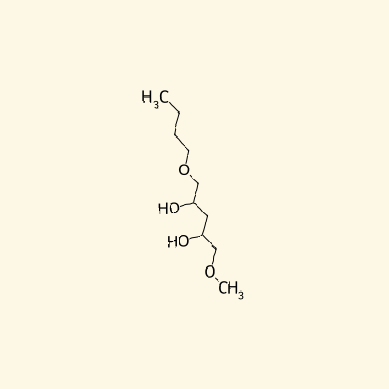 CCCCOCC(O)CC(O)COC